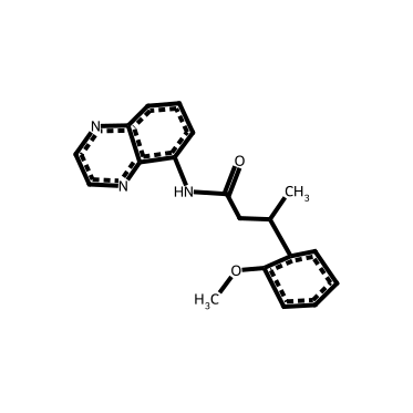 COc1ccccc1C(C)CC(=O)Nc1cccc2nccnc12